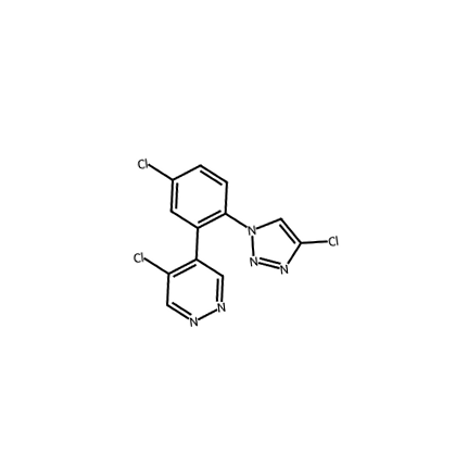 Clc1ccc(-n2cc(Cl)nn2)c(-c2cnncc2Cl)c1